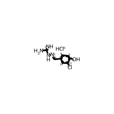 Cl.N=C(N)N/N=C/c1ccc(O)c(Cl)c1